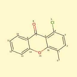 Cc1ccc(Cl)c2c(=O)c3ccccc3oc12